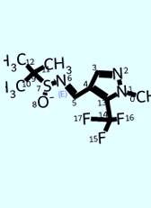 Cn1ncc(/C=N/[S+]([O-])C(C)(C)C)c1C(F)(F)F